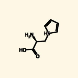 N[C@@H](C[SH]1C=CC=C1)C(=O)O